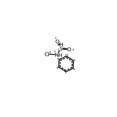 O=[SH](=O)NCl.c1ccccc1